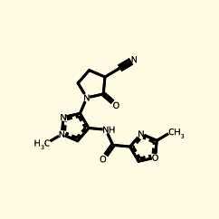 Cc1nc(C(=O)Nc2cn(C)nc2N2CCC(C#N)C2=O)co1